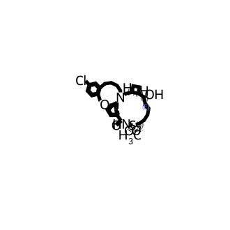 CC[C@H]1CC/C=C/[C@H](O)[C@@H]2CC[C@H]2CN2CCCCc3cc(Cl)ccc3COc3ccc(cc32)C(=O)NS1(=O)=O